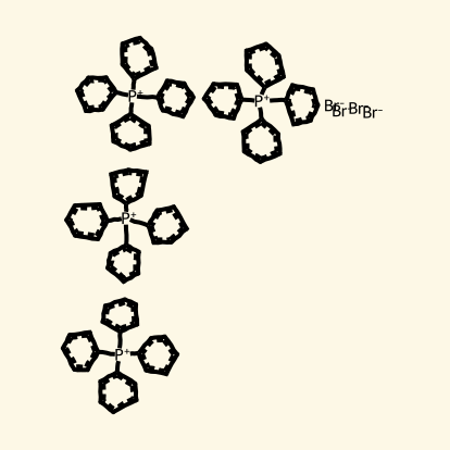 [Br-].[Br-].[Br-].[Br-].c1ccc([P+](c2ccccc2)(c2ccccc2)c2ccccc2)cc1.c1ccc([P+](c2ccccc2)(c2ccccc2)c2ccccc2)cc1.c1ccc([P+](c2ccccc2)(c2ccccc2)c2ccccc2)cc1.c1ccc([P+](c2ccccc2)(c2ccccc2)c2ccccc2)cc1